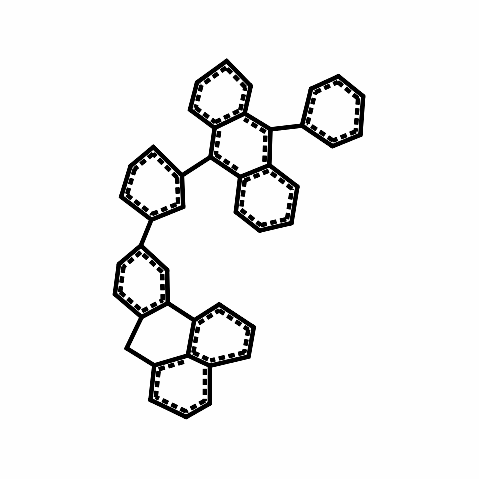 c1ccc(-c2c3ccccc3c(-c3cccc(-c4ccc5c(c4)-c4cccc6cccc(c46)C5)c3)c3ccccc23)cc1